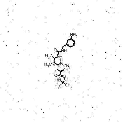 C=C(C[C@@H](NC)[C@H](C)C(C)NC(=O)NCc1cccc(N)c1)S(=O)(=O)NC(C)(C)C